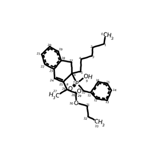 CCCCCCC1(P(=O)(O)Cc2ccccc2)Cc2ccccc2C=C1C(C)C(=O)OCCC